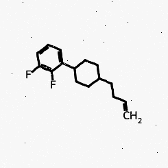 C=CCCC1CCC(c2cccc(F)c2F)CC1